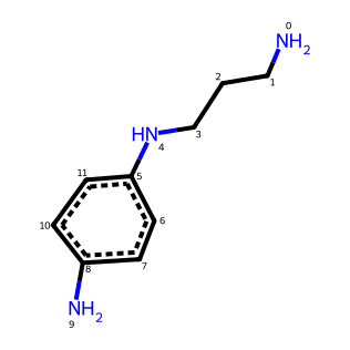 NCCCNc1ccc(N)cc1